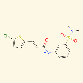 CN(C)S(=O)(=O)c1cccc(NC(=O)/C=C/c2ccc(Cl)s2)c1